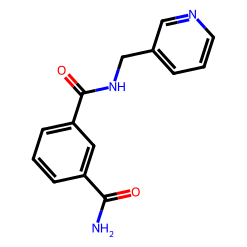 NC(=O)c1cccc(C(=O)NCc2cccnc2)c1